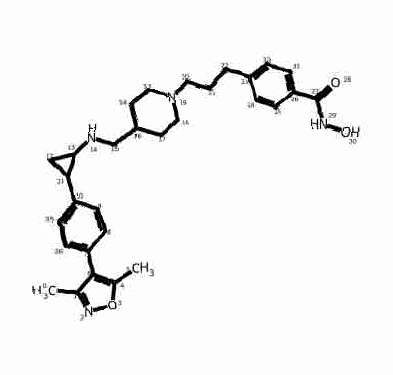 Cc1noc(C)c1-c1ccc(C2CC2NCC2CCN(CCCc3ccc(C(=O)NO)cc3)CC2)cc1